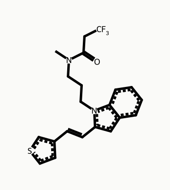 CN(CCCn1c(C=Cc2ccsc2)cc2ccccc21)C(=O)CC(F)(F)F